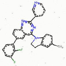 Cc1ccc2c(c1)CCN2c1nc(-c2cccnc2)nc2ccc(-c3cccc(F)c3F)cc12